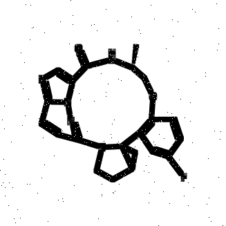 C[C@@H]1COc2ccc(F)cc2C23CC2CCN3c2ccc3ncc(n3n2)C(=O)N1